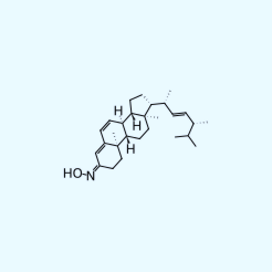 CC(C)[C@@H](C)C=C[C@@H](C)[C@H]1CC[C@H]2[C@@H]3C=CC4=CC(=NO)CC[C@]4(C)[C@H]3CC[C@]12C